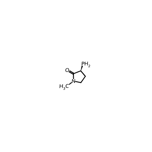 CN1CC[C@H](P)C1=O